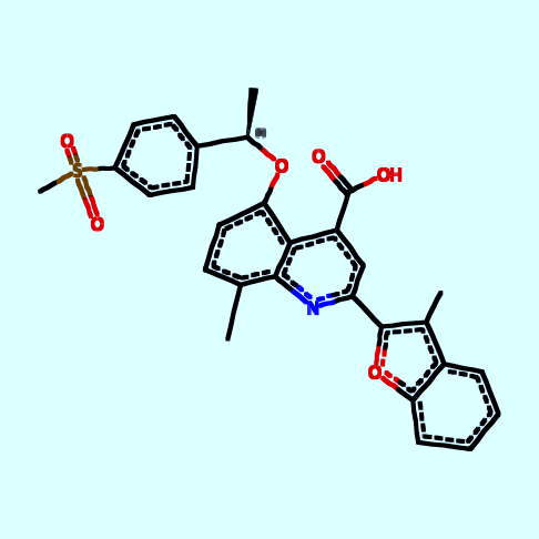 Cc1c(-c2cc(C(=O)O)c3c(O[C@H](C)c4ccc(S(C)(=O)=O)cc4)ccc(C)c3n2)oc2ccccc12